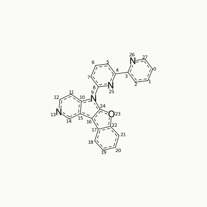 c1ccc(-c2cccc(-n3c4ccncc4c4c5ccccc5oc43)n2)nc1